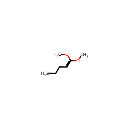 COC(=CCC[SiH3])OC